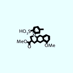 COC(=O)C1CNC2Cc3cccc(OC)c3CC2C1.Cc1ccc(S(=O)(=O)O)cc1